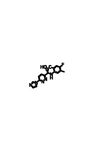 Cc1cc(NC(=O)c2ccc(-n3ccnc3)nn2)c(C(=O)O)cc1F